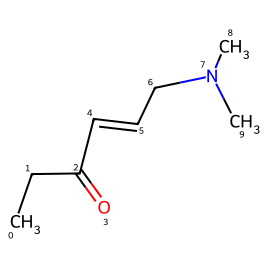 CCC(=O)/C=C/CN(C)C